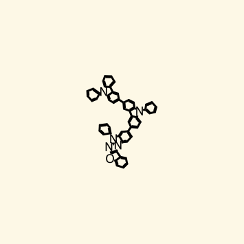 c1ccc(-n2c3ccccc3c3cc(-c4ccc5c(c4)c4cc(-c6ccc7c(c6)n(-c6ccccc6)c6nc8oc9ccccc9c8n76)ccc4n5-c4ccccc4)ccc32)cc1